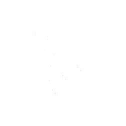 CCNC(=O)CN1C=C(S(=O)(=O)c2ccc(OC(F)(F)F)cc2)C=C(N)C1